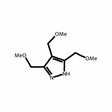 COCc1n[nH]c(COC)c1COC